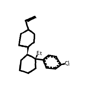 C=CC1CCC([C@@H]2CCCC[C@@]2(CC)c2ccc(Cl)cc2)CC1